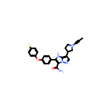 CC#CN1CCC(c2cnn3c(C(N)=O)c(-c4ccc(Oc5ccc(F)cc5)cc4)[nH]c23)C1